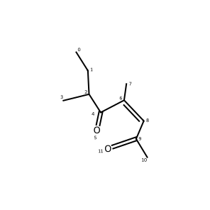 CCC(C)C(=O)/C(C)=C\C(C)=O